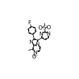 Cc1c2nc(-c3ccc(F)cc3)c(-c3ccnc(S(C)(=O)=O)n3)n2cc[n+]1[O-]